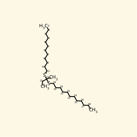 CCCCCCCCCCCCSC(C)(CC)SCCCCCCCCCCCC